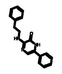 O=c1[nH]c(-c2ccccc2)cnc1NCCc1ccccc1